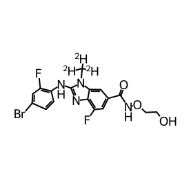 [2H]C([2H])([2H])n1c(Nc2ccc(Br)cc2F)nc2c(F)cc(C(=O)NOCCO)cc21